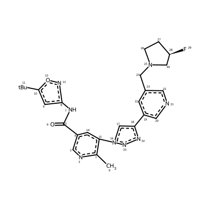 Cc1ncc(C(=O)Nc2cc(C(C)(C)C)on2)cc1-n1cc(-c2cncc(CN3CC[C@@H](F)C3)c2)nn1